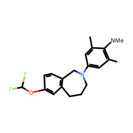 CNc1c(C)cc(N2CCCc3cc(OC(F)F)ccc3C2)cc1C